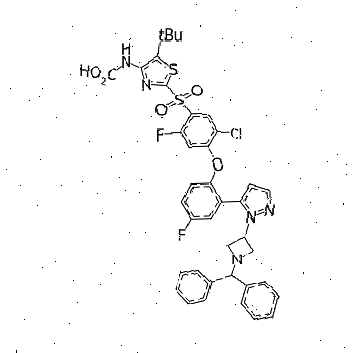 CC(C)(C)c1sc(S(=O)(=O)c2cc(Cl)c(Oc3ccc(F)cc3-c3ccnn3C3CN(C(c4ccccc4)c4ccccc4)C3)cc2F)nc1NC(=O)O